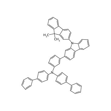 CC1(C)c2ccccc2-c2ccc(-n3c4ccccc4c4ccc(-c5cccc(N(c6ccc(-c7ccccc7)cc6)c6ccc(-c7ccccc7)cc6)c5)cc43)cc21